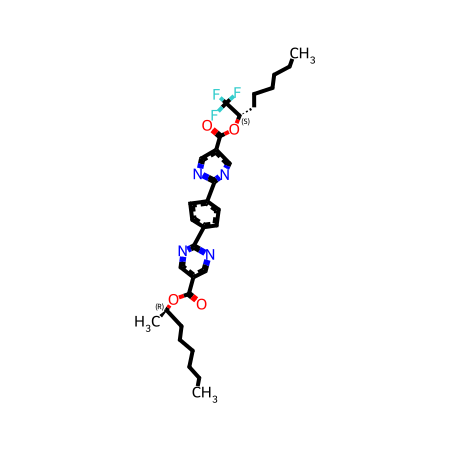 CCCCCC[C@@H](C)OC(=O)c1cnc(-c2ccc(-c3ncc(C(=O)O[C@@H](CCCCCC)C(F)(F)F)cn3)cc2)nc1